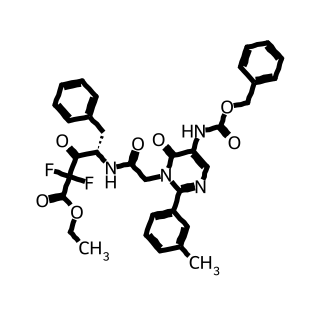 CCOC(=O)C(F)(F)C(=O)[C@H](Cc1ccccc1)NC(=O)Cn1c(-c2cccc(C)c2)ncc(NC(=O)OCc2ccccc2)c1=O